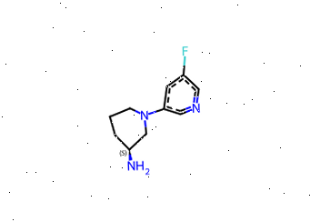 N[C@H]1CCCN(c2cncc(F)c2)C1